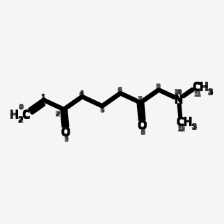 C=CC(=O)CCCC(=O)CN(C)C